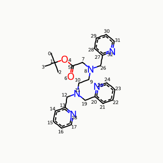 CC(C)(C)OC(=O)CN(CCN(Cc1ccccn1)Cc1ccccn1)Cc1ccccn1